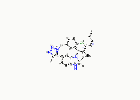 C=C/C=C\C(Cl)=C(/C(C)CC)C(c1ccccc1)N1c2cc(-c3c(C)nnn3C)ccc2NC1(C)C